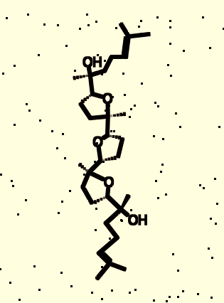 CC(C)=CCC[C@](C)(O)[C@H]1CC[C@](C)([C@@H]2CC[C@H]([C@]3(C)CC[C@@H]([C@](C)(O)CCC=C(C)C)O3)O2)O1